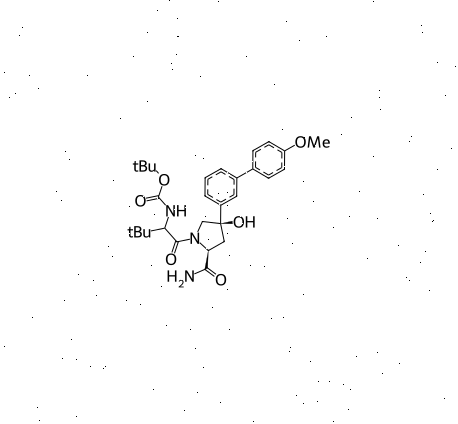 COc1ccc(-c2cccc([C@]3(O)C[C@@H](C(N)=O)N(C(=O)C(NC(=O)OC(C)(C)C)C(C)(C)C)C3)c2)cc1